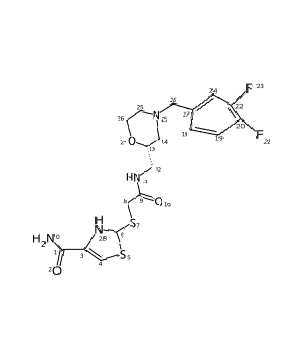 NC(=O)C1=CSC(SCC(=O)NC[C@H]2CN(Cc3ccc(F)c(F)c3)CCO2)N1